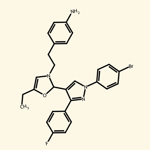 CCC1=CN(CCc2ccc(N)cc2)C(c2cn(-c3ccc(Br)cc3)nc2-c2ccc(F)cc2)O1